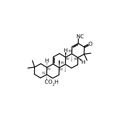 [C-]#[N+]C1=C[C@]2(C)[C@H]3CC=C4[C@@H]5CC(C)(C)CC[C@]5(C(=O)O)CC[C@@]4(C)[C@]3(C)CC[C@H]2C(C)(C)C1=O